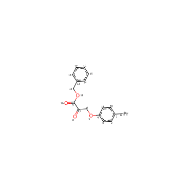 CC(C)c1ccc(OCC(=O)C(=O)OCc2ccccc2)cc1